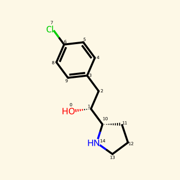 O[C@H](Cc1ccc(Cl)cc1)[C@@H]1CCCN1